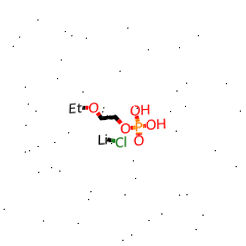 CCOCCOP(=O)(O)O.[Li][Cl]